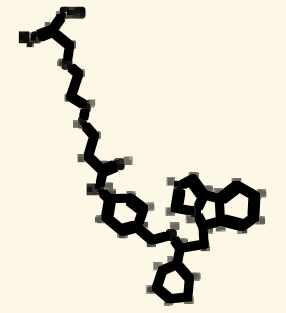 C=C(C=O)COCCSSCCC(=O)Nc1ccc(COC(CC2c3ccccc3-c3cncn32)C2CCCCC2)cc1